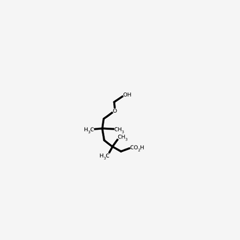 CC(C)(COCO)CC(C)(C)CC(=O)O